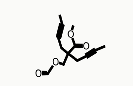 CC#CCC(CC#CC)(COC=O)C(=O)OC